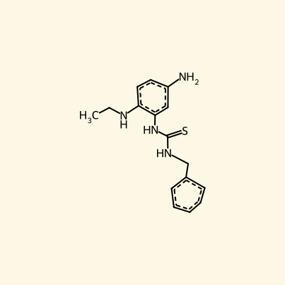 CCNc1ccc(N)cc1NC(=S)NCc1ccccc1